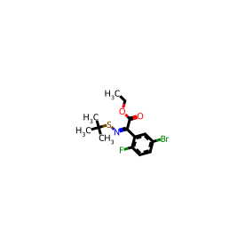 CCOC(=O)/C(=N\SC(C)(C)C)c1cc(Br)ccc1F